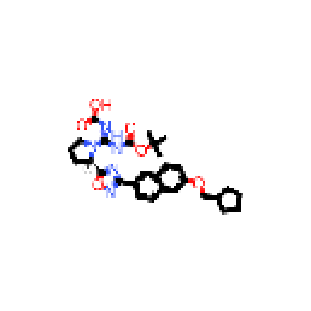 CC(C)(C)OC(=O)N/C(=N/C(=O)O)N1CCC[C@H]1c1nc(-c2ccc3cc(OCC4CCCC4)ccc3c2)no1